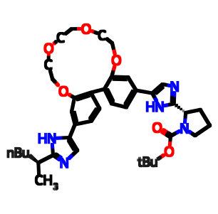 CCCC[C@H](C)c1ncc(-c2ccc3c(c2)OCCOCCOCCOc2cc(-c4cnc([C@@H]5CCCN5C(=O)OC(C)(C)C)[nH]4)ccc2-3)[nH]1